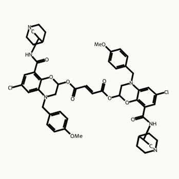 COc1ccc(CN2CC(OC(=O)/C=C/C(=O)OC3CN(Cc4ccc(OC)cc4)c4cc(Cl)cc(C(=O)NC5CN6CCC5CC6)c4O3)Oc3c(C(=O)NC4CN5CCC4CC5)cc(Cl)cc32)cc1